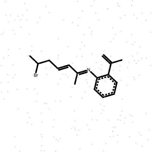 C=C(C)c1ccccc1/N=C(C)/C=C/CC(C)Br